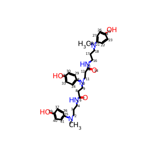 CN(CCCNC(=O)CCN(CCC(=O)NCCCN(C)c1ccc(O)cc1)c1ccc(O)cc1)c1ccc(O)cc1